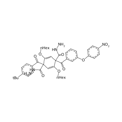 CCCCCCOC1=CC(C(=O)NN)(C(=O)c2cccc(Oc3ccc([N+](=O)[O-])cc3)c2)C(OCCCCCC)=CC1(C(=O)NN)C(=O)c1ccc(C(C)(C)C)cc1